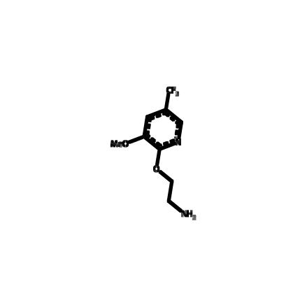 COc1cc(C(F)(F)F)cnc1OCCN